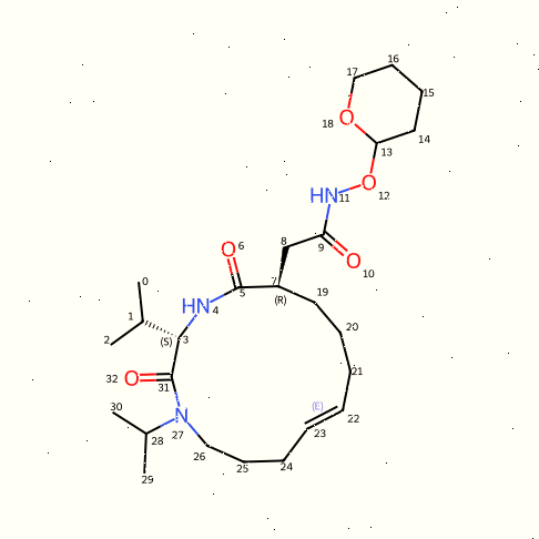 CC(C)[C@@H]1NC(=O)[C@@H](CC(=O)NOC2CCCCO2)CCC/C=C/CCCN(C(C)C)C1=O